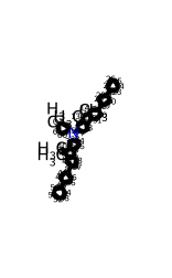 Cc1ccc(N(c2ccc3c(c2)C(C)(C)c2cc(-c4ccc(-c5ccccc5)cc4)ccc2-3)c2ccc3c(c2)C(C)(C)c2cc(-c4ccc(-c5ccccc5)cc4)ccc2-3)cc1